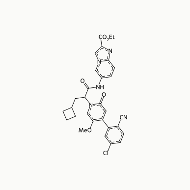 CCOC(=O)c1cn2cc(NC(=O)C(CC3CCC3)n3cc(OC)c(-c4cc(Cl)ccc4C#N)cc3=O)ccc2n1